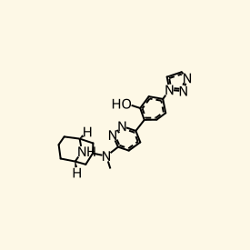 CN(c1ccc(-c2ccc(-n3ccnn3)cc2O)nn1)C1C[C@H]2CCC[C@@H](C1)N2